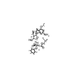 CCOc1nc(N)nc2c1ncn2[C@@H]1O[C@H](COP(=O)(N[C@@H](C)C(=O)OCC(C)C)Oc2ccccc2)[C@@H](O)[C@@]1(C)C#N